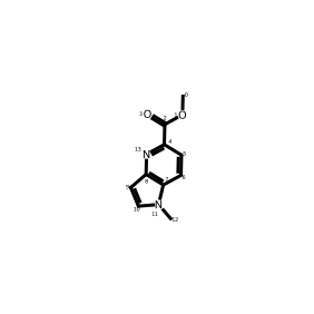 COC(=O)c1ccc2c(ccn2C)n1